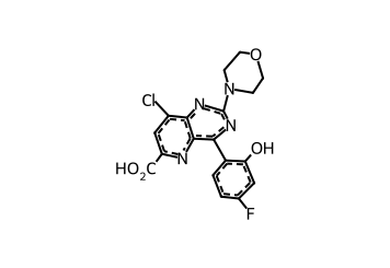 O=C(O)c1cc(Cl)c2nc(N3CCOCC3)nc(-c3ccc(F)cc3O)c2n1